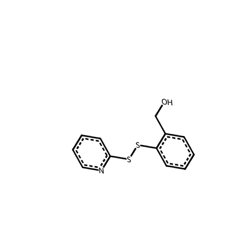 OCc1ccccc1SSc1ccccn1